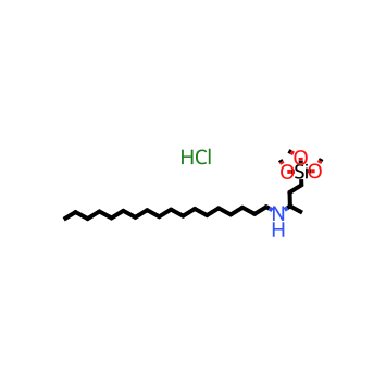 CCCCCCCCCCCCCCCCCCNC(C)CC[Si](OC)(OC)OC.Cl